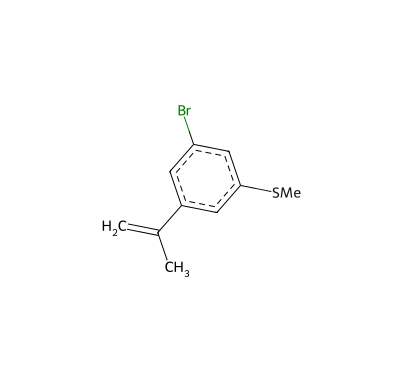 C=C(C)c1cc(Br)cc(SC)c1